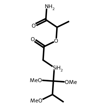 COC(C)C(OC)(OC)[SiH2]CC(=O)OC(C)C(N)=O